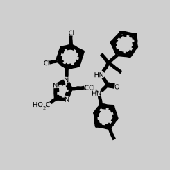 Cc1ccc(NC(=O)NC(C)(C)c2ccccc2)cc1.O=C(O)c1nc(C(Cl)(Cl)Cl)n(-c2ccc(Cl)cc2Cl)n1